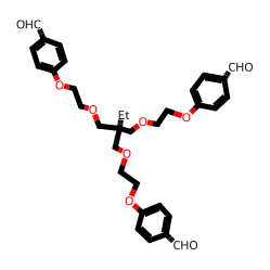 CCC(COCCOc1ccc(C=O)cc1)(COCCOc1ccc(C=O)cc1)COCCOc1ccc(C=O)cc1